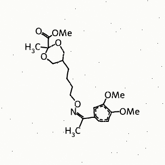 COC(=O)C1(C)OCC(CCCCON=C(C)c2ccc(OC)c(OC)c2)CO1